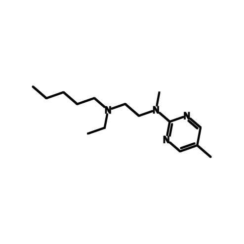 CCCCCN(CC)CCN(C)c1ncc(C)cn1